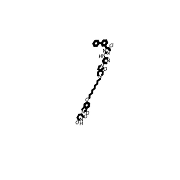 O=C1CCC(N2Cc3cc(OCCCCCCCCCN4CCC5(CC4)CCN(c4cncc(Nc6ncc(Cl)c(-c7cccc(-c8ccccc8)c7)n6)c4)C5=O)ccc3C2=O)C(=O)N1